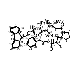 CC[C@H](C)[C@@H]([C@@H](CC(=O)N1CCC[C@H]1[C@H](OC)[C@@H](C)C(=O)NCCc1ccccc1)OC)N(C)C(=O)[C@@H](NC(=O)OCC1c2ccccc2-c2ccccc21)C(C)C